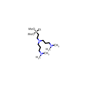 CC[Si](CCN(CCCN(C)C)CCCN(C)C)(OC)OC